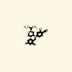 CC(C)N1C[C@@H](N(Cc2ccc(F)cc2F)c2ccc(C#N)c(Cl)c2)CCO1